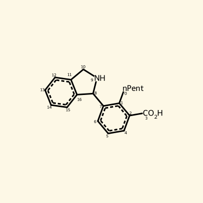 CCCCCc1c(C(=O)O)cccc1C1NCc2ccccc21